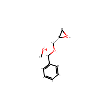 CO.c1ccc(COC[C@@H]2CO2)cc1